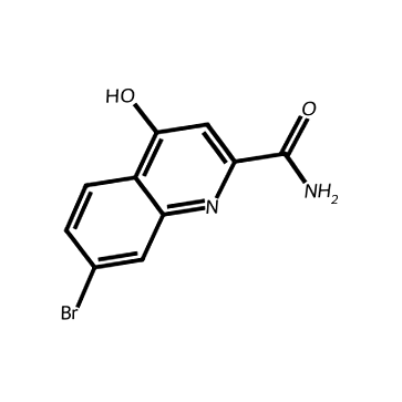 NC(=O)c1cc(O)c2ccc(Br)cc2n1